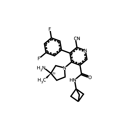 C[C@]1(N)CCN(c2c(C(=O)NC34CC(C3)C4)cnc(C#N)c2-c2cc(F)cc(F)c2)C1